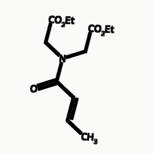 C/C=C/C(=O)N(CC(=O)OCC)CC(=O)OCC